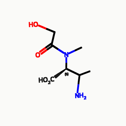 CC(N)[C@@H](C(=O)O)N(C)C(=O)CO